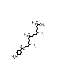 CC(C)CCC[C@@H](C)CCC[C@@H](C)CCCC(C)CCOC(=O)c1ccc(N)cc1